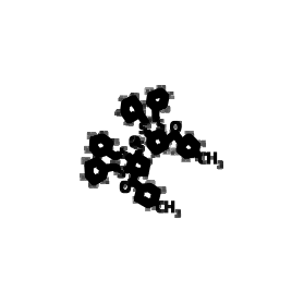 Cc1ccc(C(=O)c2ccc([S+]([O-])c3ccc(C(=O)c4ccc(C)cc4)c(SCc4ccccc4)c3SCc3ccccc3)c(SCc3ccccc3)c2SCc2ccccc2)cc1